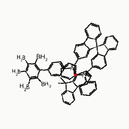 Bc1c(B)c(B)c(-c2ccc(N(c3ccc4c(c3)C3(c5ccccc5-c5ccc(N(c6ccccc6)c6ccccc6)cc53)c3ccccc3-4)c3cccc4c3C(C)(C)c3ccccc3-4)cc2)c(B)c1B